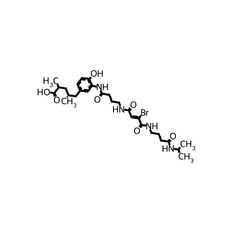 CC(C)NC(=O)CCCNC(=O)/C(Br)=C/C(=O)NCCCC(=O)Nc1cc(C[C@H](C)CC(C)C(=O)O)ccc1O